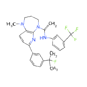 C=C(Nc1cccc(C(F)(F)F)c1)N1CCCN(C)c2ccc(-c3cccc(C(C)(C)F)c3)nc21